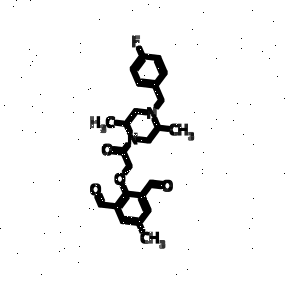 Cc1cc(C=O)c(OCC(=O)N2CC(C)N(Cc3ccc(F)cc3)CC2C)c(C=O)c1